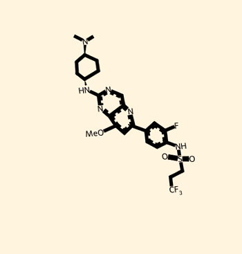 COc1cc(-c2ccc(NS(=O)(=O)CCC(F)(F)F)c(F)c2)nc2cnc(N[C@H]3CC[C@H](N(C)C)CC3)nc12